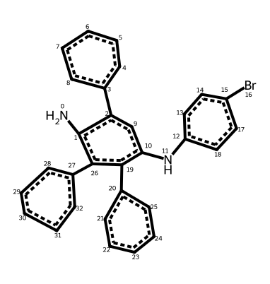 Nc1c(-c2ccccc2)cc(Nc2ccc(Br)cc2)c(-c2ccccc2)c1-c1ccccc1